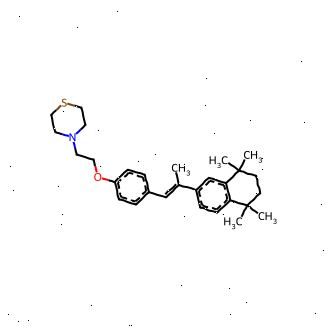 CC(=Cc1ccc(OCCN2CCSCC2)cc1)c1ccc2c(c1)C(C)(C)CCC2(C)C